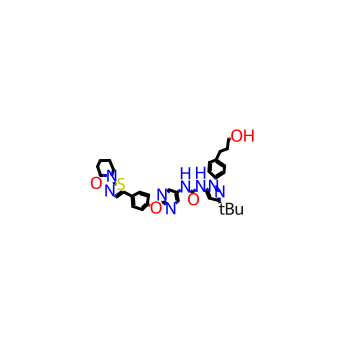 CC(C)(C)c1cc(NC(=O)Nc2cnc(Oc3ccc(-c4cnc(N5CCCCC5=O)s4)cc3)nc2)n(-c2ccc(CCCO)cc2)n1